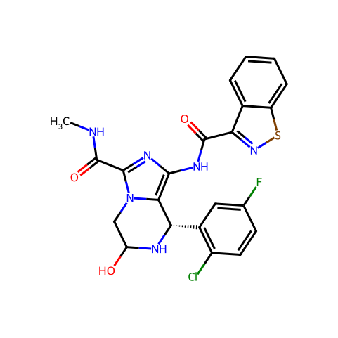 CNC(=O)c1nc(NC(=O)c2nsc3ccccc23)c2n1CC(O)N[C@H]2c1cc(F)ccc1Cl